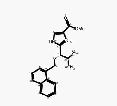 COC(=O)c1c[nH]c([C@@H](CCc2cccc3ccccc23)[C@H](C)O)n1